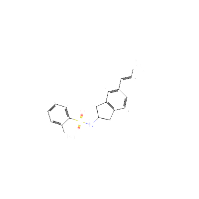 CC(C)(C)c1ccccc1S(=O)(=O)NC1Cc2ccc(C=CC(=O)O)cc2C1